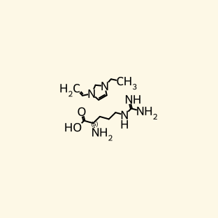 C=CN1C=CN(CC)C1.N=C(N)NCCC[C@H](N)C(=O)O